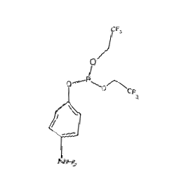 Nc1ccc(OP(OCC(F)(F)F)OCC(F)(F)F)cc1